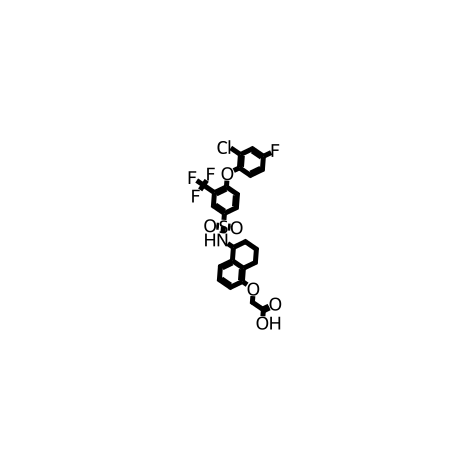 O=C(O)COc1cccc2c1CCCC2NS(=O)(=O)c1ccc(Oc2ccc(F)cc2Cl)c(C(F)(F)F)c1